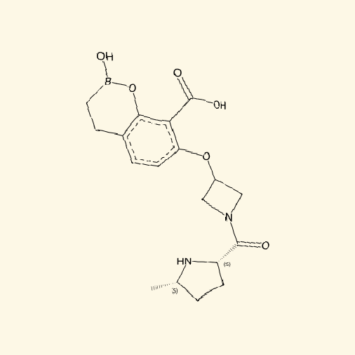 C[C@H]1CC[C@@H](C(=O)N2CC(Oc3ccc4c(c3C(=O)O)OB(O)CC4)C2)N1